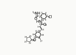 CNC(=O)c1ccc(Cl)cc1NC(=O)/C=C/c1ccc(OC2CCCC2)c(C)c1